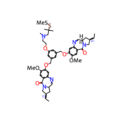 C/C=C1\CC2C=Nc3cc(OCc4cc(COc5cc6c(cc5OC)C(=O)N5C/C(=C/C)C[C@H]5C=N6)cc(OCCN(C)CC(C)(C)SSC)c4)c(OC)cc3C(=O)N2C1